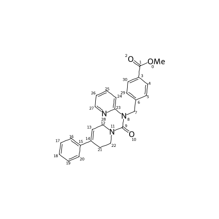 COC(=O)c1ccc(CN(C(=O)N2CC=C(c3ccccc3)CC2)c2ccccn2)cc1